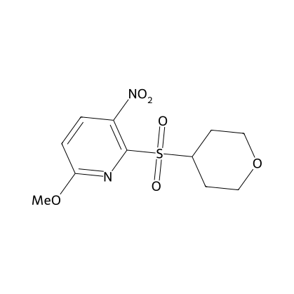 COc1ccc([N+](=O)[O-])c(S(=O)(=O)C2CCOCC2)n1